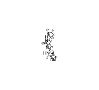 Cc1ccc(-c2cn3cc(C(=O)NC(C)c4ccon4)nc3c(=O)[nH]2)cc1C